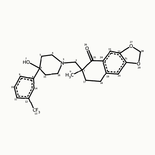 CC1(CN2CCC(O)(c3cccc(C(F)(F)F)c3)CC2)CCc2cc3c(cc2C1=O)OCO3